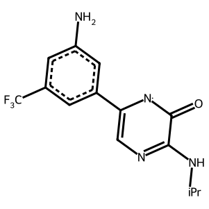 CC(C)NC1=NC=C(c2cc(N)cc(C(F)(F)F)c2)[N]C1=O